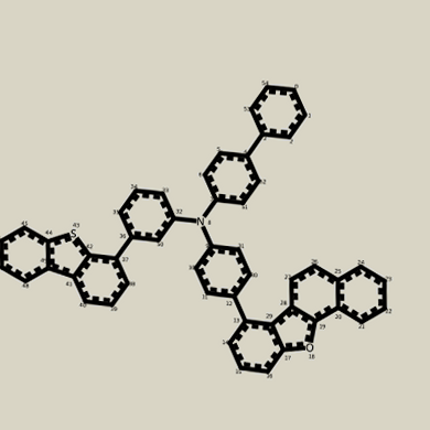 c1ccc(-c2ccc(N(c3ccc(-c4cccc5oc6c7ccccc7ccc6c45)cc3)c3cccc(-c4cccc5c4sc4ccccc45)c3)cc2)cc1